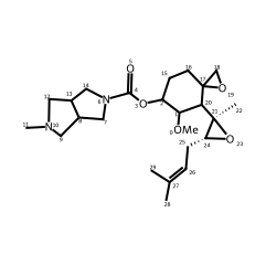 COC1C(OC(=O)N2CC3CN(C)CC3C2)CCC2(CO2)C1[C@@]1(C)O[C@@H]1CC=C(C)C